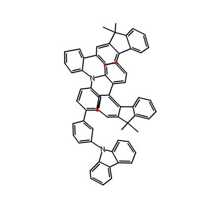 CC1(C)c2ccccc2-c2ccc(-c3ccccc3N(c3ccc(-c4cccc(-n5c6ccccc6c6ccccc65)c4)cc3)c3ccccc3-c3cccc4c3-c3ccccc3C4(C)C)cc21